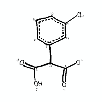 O=C(O)C(C(=O)Cl)c1cccc(Cl)c1